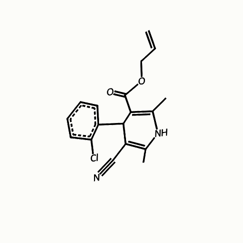 C=CCOC(=O)C1=C(C)NC(C)=C(C#N)C1c1ccccc1Cl